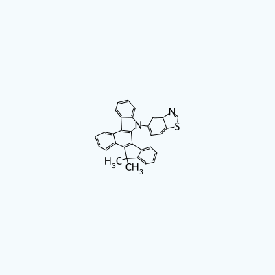 CC1(C)c2ccccc2-c2c1c1ccccc1c1c3ccccc3n(-c3ccc4scnc4c3)c21